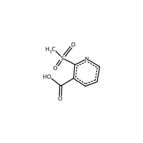 CS(=O)(=O)c1ncccc1C(=O)O